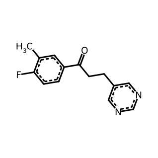 Cc1cc(C(=O)CCc2cncnc2)ccc1F